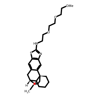 COCCOCCOCCNc1nc2cc3c(cc2s1)C[C@@H]1[C@@H]2CCCC[C@]32CCN1C